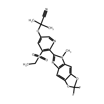 CCS(=O)(=O)c1cc(OC(C)(C)C#N)cnc1-c1nc2cc3c(cc2n1C)OC(F)(F)O3